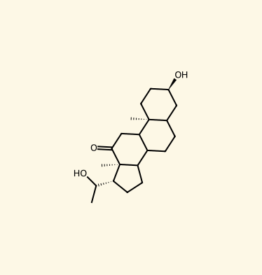 CC(O)[C@H]1CCC2C3CCC4C[C@H](O)CC[C@]4(C)C3CC(=O)[C@@]21C